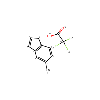 N#Cc1ccc2c(c1)C=CC2.O=C(O)C(F)(F)F